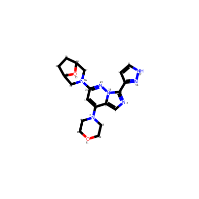 c1cc(-c2ncc3c(N4CCOCC4)cc(N4CC5CCC(C4)O5)nn23)n[nH]1